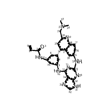 C=CC(=O)Nc1cccc(Nc2nc(Nc3ccc4nc(CN(C)C)ccc4c3)nc3[nH]cnc23)c1